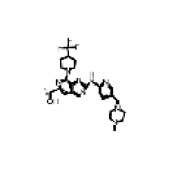 C[C@@H](O)c1cc2cnc(Nc3ccc(CN4CCN(C)CC4)cn3)nc2c(N2CCC(C(F)(F)F)CC2)n1